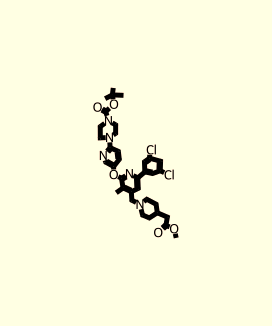 COC(=O)CC1CCN(Cc2cc(-c3cc(Cl)cc(Cl)c3)nc(Oc3ccc(N4CCN(C(=O)OC(C)(C)C)CC4)nc3)c2C)CC1